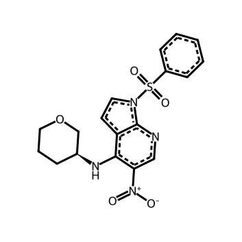 O=[N+]([O-])c1cnc2c(ccn2S(=O)(=O)c2ccccc2)c1N[C@H]1CCCOC1